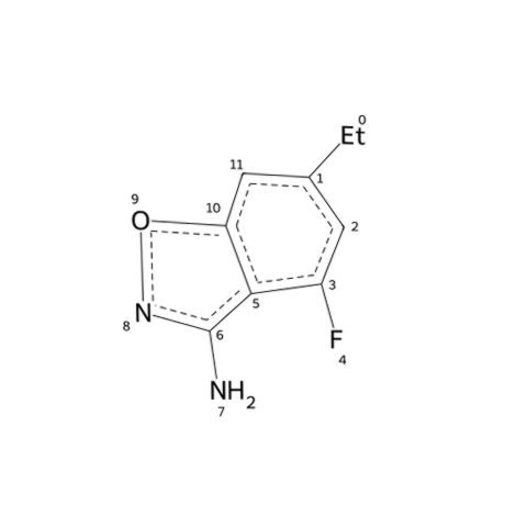 CCc1cc(F)c2c(N)noc2c1